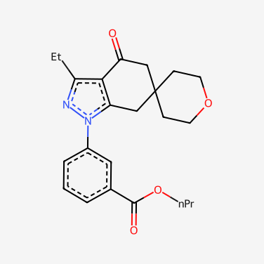 CCCOC(=O)c1cccc(-n2nc(CC)c3c2CC2(CCOCC2)CC3=O)c1